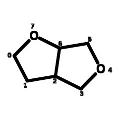 C1CC2COCC2O1